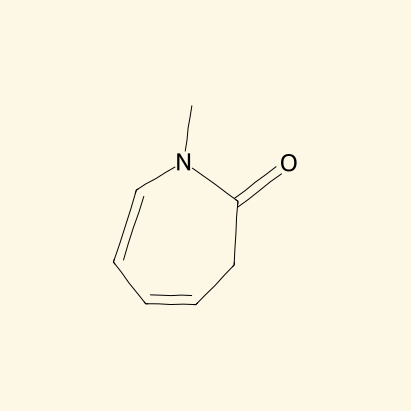 CN1C=CC=CCC1=O